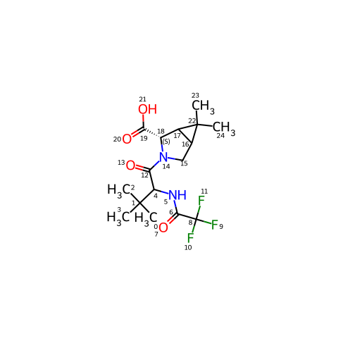 CC(C)(C)C(NC(=O)C(F)(F)F)C(=O)N1CC2C([C@H]1C(=O)O)C2(C)C